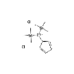 [CH3][Sn]([CH3])([CH3])[Zr+2]([CH]1C=CC=C1)[Sn]([CH3])([CH3])[CH3].[Cl-].[Cl-]